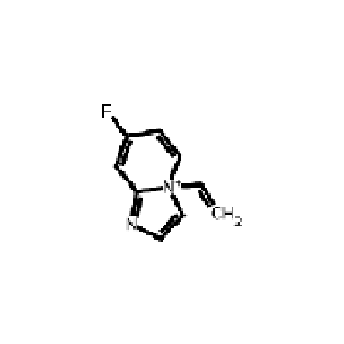 C=C[N+]12C=CN=C1C=C(F)C=C2